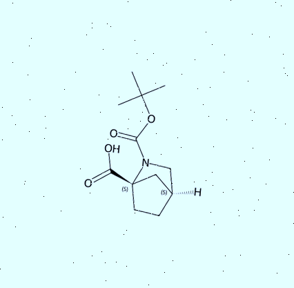 CC(C)(C)OC(=O)N1C[C@H]2CC[C@@]1(C(=O)O)C2